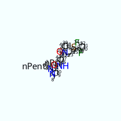 CCCCCC1(CCC)CN(c2nc(C)ccc2C(=O)Nc2ccc(C(=O)N3CCc4cc(-c5c(F)cccc5F)sc4-c4ccccc43)cc2)C1